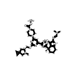 CN(C)/C=N/c1sc2c(c1C#N)[C@@](C)(c1nc(-c3cc(N4CCN(C(=O)OC(C)(C)C)CC4)nc(OC[C@@H]4CC5(CC5)CN4C)n3)no1)CCC2